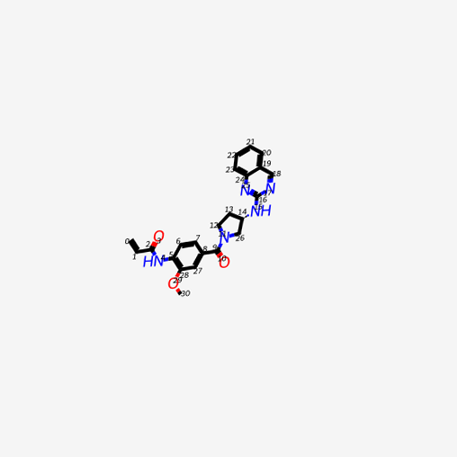 C=CC(=O)Nc1ccc(C(=O)N2CC[C@H](Nc3ncc4ccccc4n3)C2)cc1OC